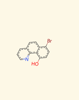 Oc1ccc(Br)c2ccc3cccnc3c12